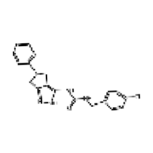 O=C(NCc1ccc(Cl)cc1)Nc1[nH]nc2c1CN(c1ccccc1)C2